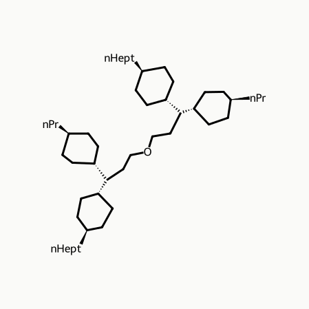 CCCCCCC[C@H]1CC[C@H](C(CCOCCC([C@H]2CC[C@H](CCC)CC2)[C@H]2CC[C@H](CCCCCCC)CC2)[C@H]2CC[C@H](CCC)CC2)CC1